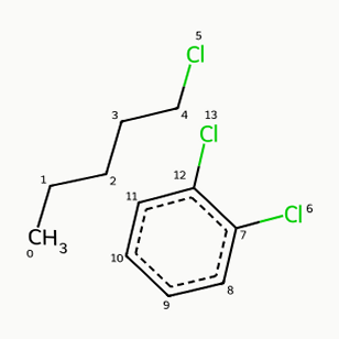 CCCCCCl.Clc1ccccc1Cl